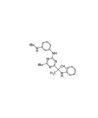 CC(C)(C)Nc1cccc(Nc2nc(C(C)(C)C)nc(C(C)(C)Nc3ccccc3)n2)c1